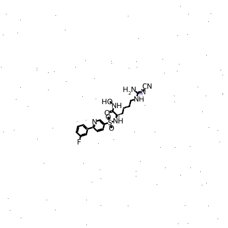 N#C/N=C(\N)NCCCC[C@@H](NS(=O)(=O)c1ccc(-c2cccc(F)c2)nc1)C(=O)NO